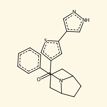 O=C(c1csc(-c2cn[nH]c2)c1)N1C2CCC1CC(c1ccccc1)C2